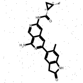 Cc1cc2c(cc1-c1cc3cc(NC(=O)[C@@H]4C[C@@H]4F)ncc3c(N)n1)CC(=O)N2